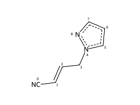 N#CC=CCn1cccn1